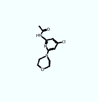 CC(=O)Nc1cc(Cl)cc(N2CCOCC2)n1